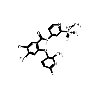 C[SH]=[S@@](N)(=O)c1cc(NC(=O)c2cc(Cl)c(C(F)(F)F)cc2Oc2ccc(F)nc2C)ccn1